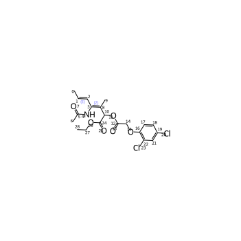 C/C=C/C(NC(C)=O)=C(\C)C(OC(=O)COc1ccc(Cl)cc1Cl)C(=O)OCC